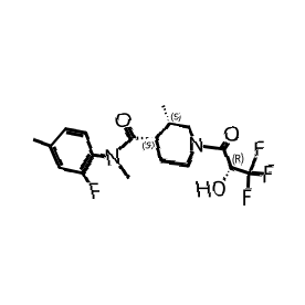 Cc1ccc(N(C)C(=O)[C@H]2CCN(C(=O)[C@@H](O)C(F)(F)F)C[C@H]2C)c(F)c1